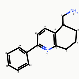 NCC1CCCc2nc(-c3ccccc3)ccc21